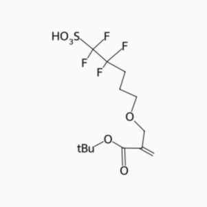 C=C(COCCCC(F)(F)C(F)(F)S(=O)(=O)O)C(=O)OC(C)(C)C